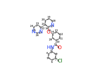 O=C(Nc1cccc(Cl)c1)c1cccc(Oc2ncccc2-c2ccncn2)c1